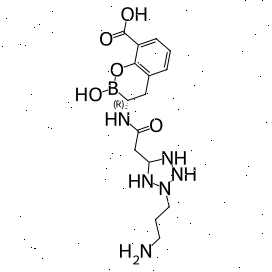 NCCCN1NNC(CC(=O)N[C@H]2Cc3cccc(C(=O)O)c3OB2O)N1